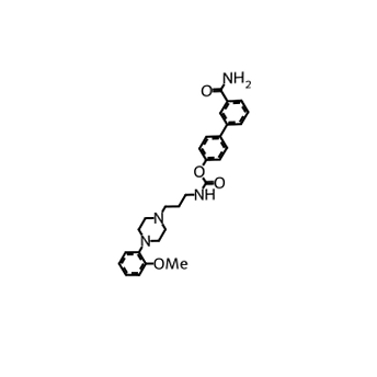 COc1ccccc1N1CCN(CCCNC(=O)Oc2ccc(-c3cccc(C(N)=O)c3)cc2)CC1